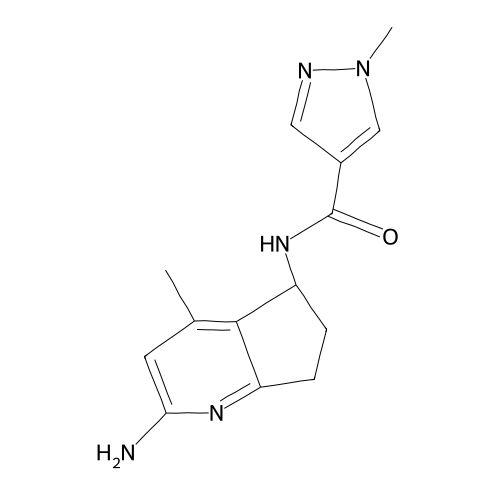 Cc1cc(N)nc2c1C(NC(=O)c1cnn(C)c1)CC2